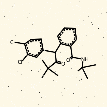 CC(C)(C)NC(=O)c1ccccc1C(C(=O)C(C)(C)C)c1ccc(Cl)c(Cl)c1